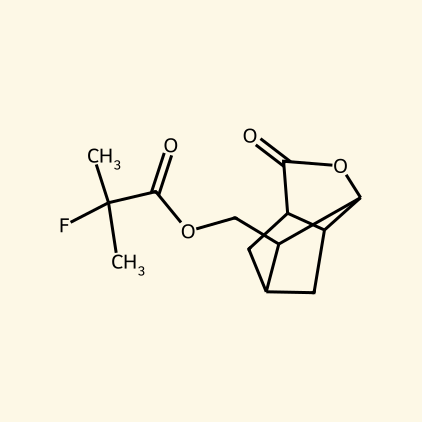 CC(C)(F)C(=O)OCC1C2CC3C(=O)OC1C3C2